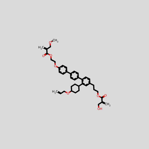 C=CCOC1CCC(c2cc(CCCOC(=O)C(=C)CO)ccc2-c2ccc(-c3ccc(OCCOC(=O)C(=C)COC)cc3)cc2)CC1